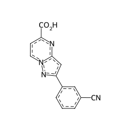 N#Cc1cccc(-c2cc3nc(C(=O)O)ccn3n2)c1